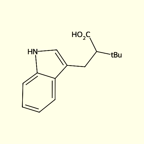 CC(C)(C)C(Cc1c[nH]c2ccccc12)C(=O)O